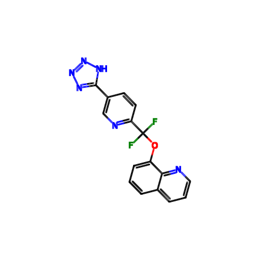 FC(F)(Oc1cccc2cccnc12)c1ccc(-c2nnn[nH]2)cn1